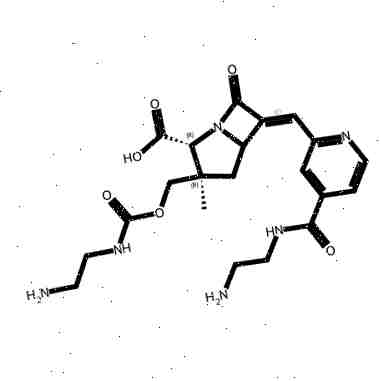 C[C@@]1(COC(=O)NCCN)CC2/C(=C\c3cc(C(=O)NCCN)ccn3)C(=O)N2[C@H]1C(=O)O